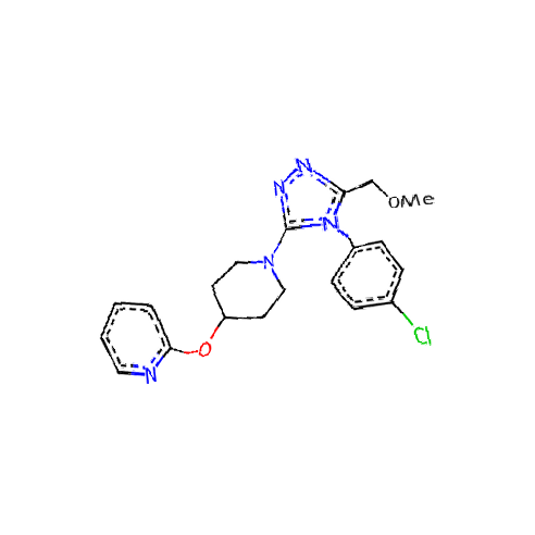 COCc1nnc(N2CCC(Oc3ccccn3)CC2)n1-c1ccc(Cl)cc1